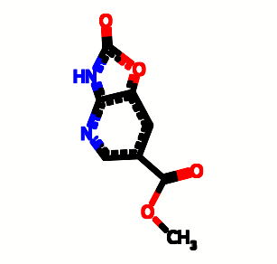 COC(=O)c1cnc2[nH]c(=O)oc2c1